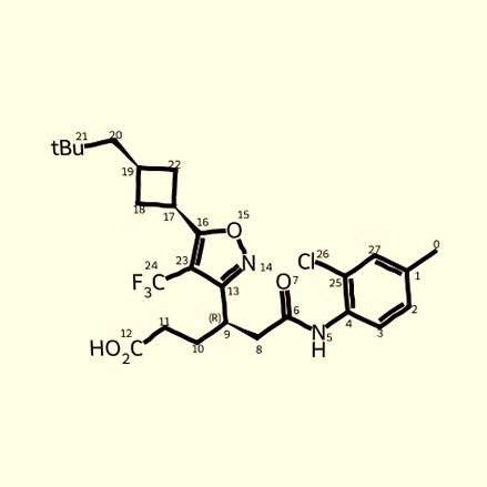 Cc1ccc(NC(=O)C[C@@H](CCC(=O)O)c2noc([C@H]3C[C@@H](CC(C)(C)C)C3)c2C(F)(F)F)c(Cl)c1